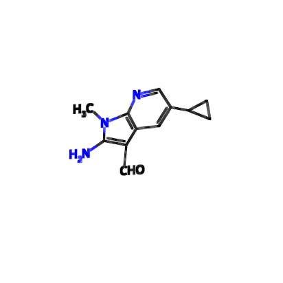 Cn1c(N)c(C=O)c2cc(C3CC3)cnc21